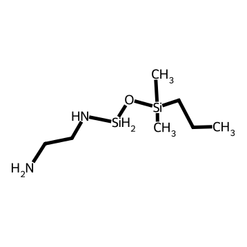 CCC[Si](C)(C)O[SiH2]NCCN